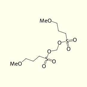 COCCCS(=O)(=O)OCOS(=O)(=O)CCCOC